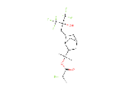 CC(F)C(=O)OC(C)(C)C1CC2CC(CC(O)(C(F)(F)F)C(F)(F)F)C1C2